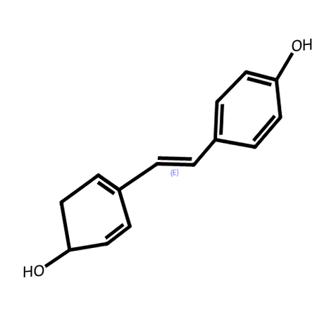 Oc1ccc(/C=C/C2=CCC(O)C=C2)cc1